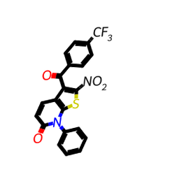 O=C(c1ccc(C(F)(F)F)cc1)c1c([N+](=O)[O-])sc2c1ccc(=O)n2-c1ccccc1